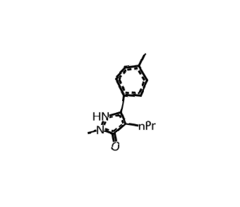 CCCc1c(-c2ccc(C)cc2)[nH]n(C)c1=O